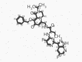 CCC(Nc1nc(-c2n[nH]c3ncc(F)cc23)ncc1F)C(=O)NCc1cc(=O)c(OCc2ccccc2)c2n1CCN(C(C)C)C2=O